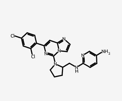 Nc1ccc(NCC2CCCN2c2nc(-c3ccc(Cl)cc3Cl)cc3nccn23)nc1